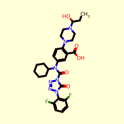 CCC(O)N1CCN(c2ccc(N(C(=O)n3nnn(-c4c(F)cccc4F)c3=O)C3CCCCC3)cc2C(=O)O)CC1